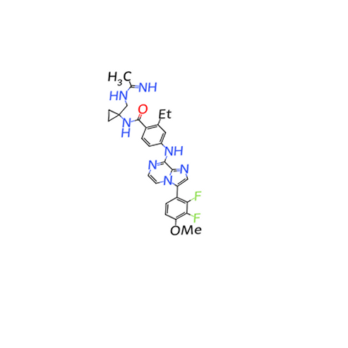 CCc1cc(Nc2nccn3c(-c4ccc(OC)c(F)c4F)cnc23)ccc1C(=O)NC1(CNC(C)=N)CC1